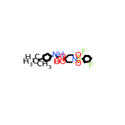 CC(C)(C)c1ccc(NC(=O)OC2(O)CCN(S(=O)(=O)c3cc(F)ccc3F)CC2)cc1